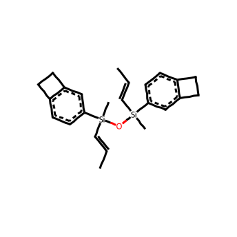 CC=C[Si](C)(O[Si](C)(C=CC)c1ccc2c(c1)CC2)c1ccc2c(c1)CC2